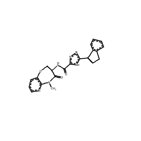 CN1C(=O)C(NC(=O)c2nnc(C3CCc4ccccc43)[nH]2)COc2cccnc21